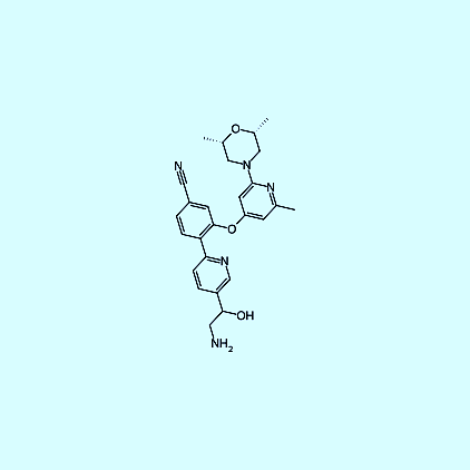 Cc1cc(Oc2cc(C#N)ccc2-c2ccc(C(O)CN)cn2)cc(N2C[C@@H](C)O[C@@H](C)C2)n1